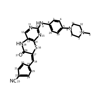 CN1CCN(c2ccc(Nc3ncc4c(n3)SC(=Cc3ccc(C#N)cc3)C(=O)N4)cc2)CC1